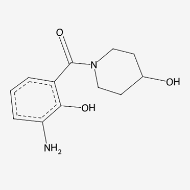 Nc1cccc(C(=O)N2CCC(O)CC2)c1O